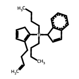 C=CCCC1=[C]([Ti]([CH2]CCC)([CH2]CCC)[CH]2C=Cc3ccccc32)CC=C1